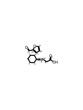 NC1CCCCC1.NCC(=O)O.O=Cc1ccco1